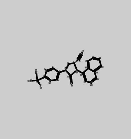 N#C[C@H]1CN(c2cnc(C(F)(F)F)nc2)C(=O)N1c1cncc2ccccc12